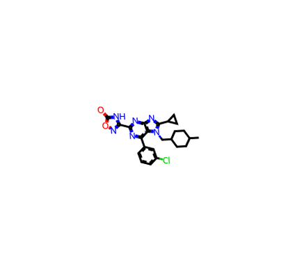 CC1CCC(Cn2c(C3CC3)nc3nc(-c4noc(=O)[nH]4)nc(-c4cccc(Cl)c4)c32)CC1